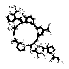 C=CC(=O)N1CCC([SiH3])(C(=O)N(C)[C@H](C(=O)N[C@H]2Cc3cc(C(F)F)cc(n3)-c3ccc4c(c3)c(c(-c3cccnc3[C@H](C)OC)n4CC)CC(C)(C)COC(=O)[C@@]3([SiH3])CCCN(N3)C2=O)C(C)C)C1